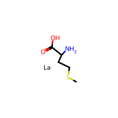 CSCCC(N)C(=O)O.[La]